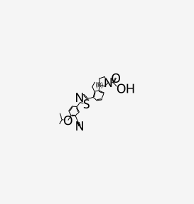 CC(C)Oc1ccc(-c2ncc(-c3cccc4c3CC[C@@]43CCN(C(=O)CO)C3)s2)cc1C#N